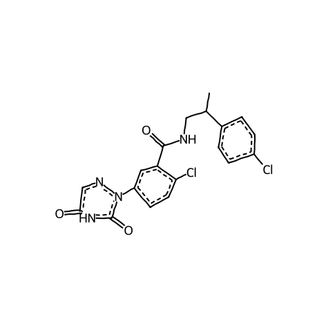 CC(CNC(=O)c1cc(-n2ncc(=O)[nH]c2=O)ccc1Cl)c1ccc(Cl)cc1